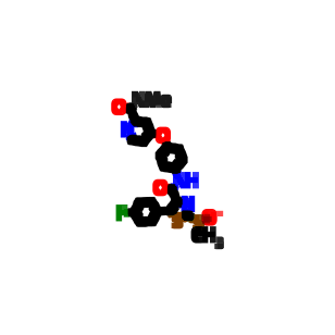 CNC(=O)c1cc(Oc2ccc(NC(=O)c3nc([S+](C)[O-])sc3-c3ccc(F)cc3)cc2)ccn1